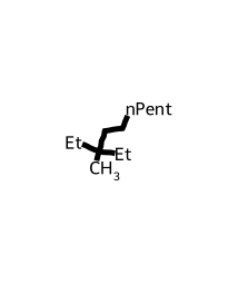 [CH2]CCCCCCC(C)(CC)CC